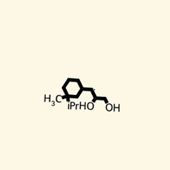 CC(C)C1(C)CCCC([CH]C(O)CO)C1